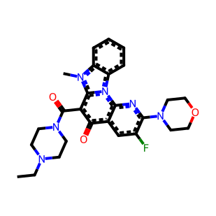 CCN1CCN(C(=O)c2c(=O)c3cc(F)c(N4CCOCC4)nc3n3c4ccccc4n(C)c23)CC1